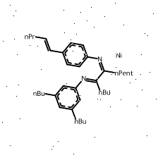 CCCC=Cc1ccc(N=C(CCCCC)C(CCCC)=Nc2cc(CCCC)cc(CCCC)c2)cc1.[Ni]